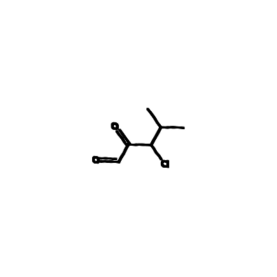 CC(C)C(Cl)C(=O)C=O